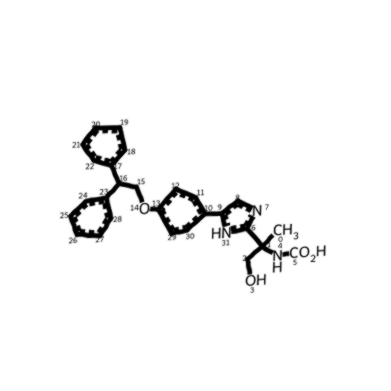 CC(CO)(NC(=O)O)c1ncc(-c2ccc(OCC(c3ccccc3)c3ccccc3)cc2)[nH]1